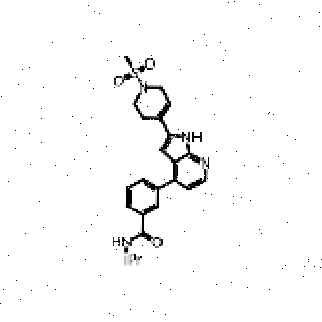 CC(C)NC(=O)c1cccc(-c2ccnc3[nH]c(C4=CCN(S(C)(=O)=O)CC4)cc23)c1